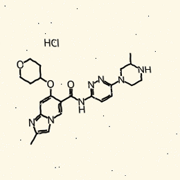 Cc1cn2cc(C(=O)Nc3ccc(N4CCNC(C)C4)nn3)c(OC3CCOCC3)cc2n1.Cl